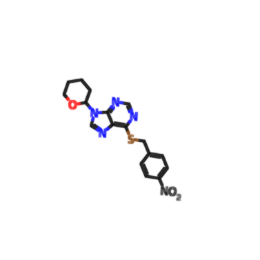 O=[N+]([O-])c1ccc(CSc2ncnc3c2ncn3C2CCCCO2)cc1